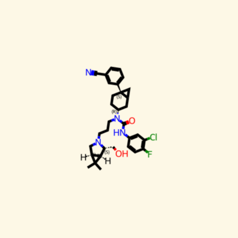 CC1(C)[C@@H]2[C@@H](CO)N(CCCN(C(=O)Nc3ccc(F)c(Cl)c3)[C@@H]3CC[C@]4(c5cccc(C#N)c5)CC4C3)C[C@@H]21